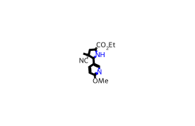 CCOC(=O)C1C[C@@](C)(C#N)C(c2ccc(OC)nc2)N1